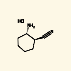 Cl.N#C[C@H]1CCCC[C@@H]1N